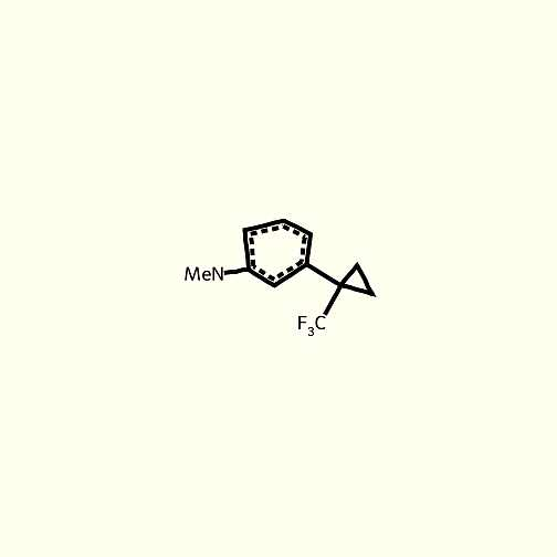 CNc1cccc(C2(C(F)(F)F)CC2)c1